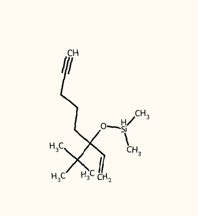 C#CCCCC(C=C)(O[SiH](C)C)C(C)(C)C